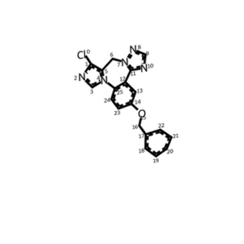 Clc1ncn2c1Cn1ncnc1-c1cc(OCc3ccccc3)ccc1-2